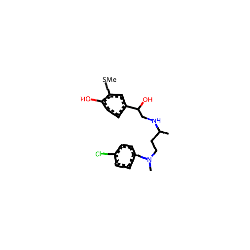 CSc1cc(C(O)CNC(C)CCN(C)c2ccc(Cl)cc2)ccc1O